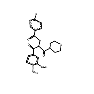 COc1ccc(C(=O)C(CC(=O)c2ccc(F)cc2)C(=O)N2CCOCC2)cc1OC